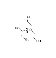 CCC(C)CC(O)O.OCCOCCO